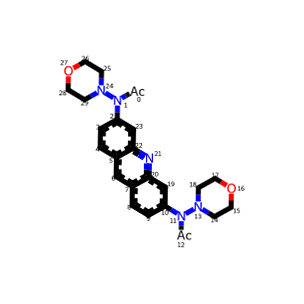 CC(=O)N(c1ccc2cc3ccc(N(C(C)=O)N4CCOCC4)cc3nc2c1)N1CCOCC1